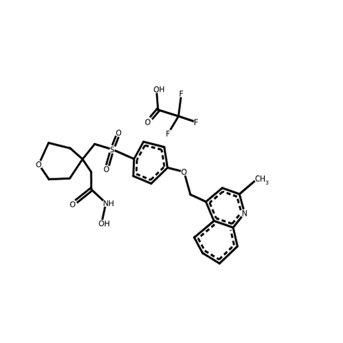 Cc1cc(COc2ccc(S(=O)(=O)CC3(CC(=O)NO)CCOCC3)cc2)c2ccccc2n1.O=C(O)C(F)(F)F